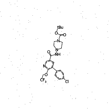 CC(C)(C)OC(=O)N1CCN(NC(=O)c2cnc(OCC(F)(F)F)c(-c3ccc(Cl)cc3)c2)CC1